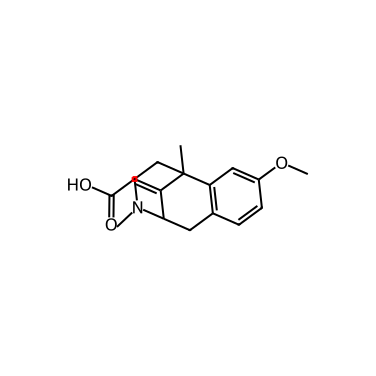 COc1ccc2c(c1)C1(C)CCN(C)C(C2)/C1=C\C(=O)O